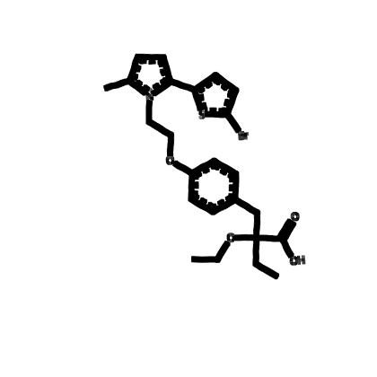 CCOC(CC)(Cc1ccc(OCCn2c(C)ccc2-c2ccc(Br)s2)cc1)C(=O)O